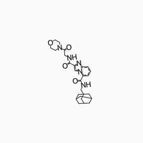 O=C(NCC(=O)N1CCOCC1)c1cn2c(C(=O)NCC34CC5CC(CC(C5)C3)C4)cccc2n1